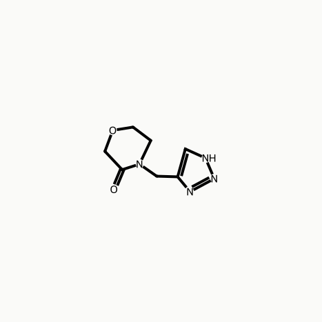 O=C1COCCN1Cc1c[nH]nn1